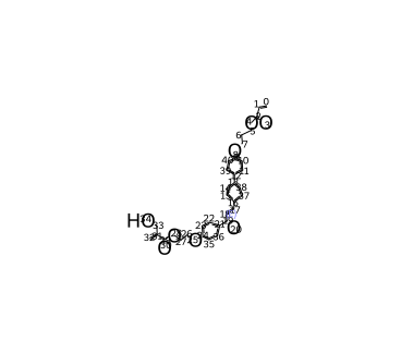 C=CC(=O)OCCCOc1ccc(-c2ccc(/C=C/C(=O)c3ccc(OCCOC(=O)C(=C)CO)cc3)cc2)cc1